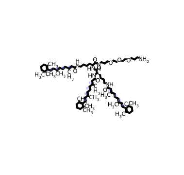 CC1=C(/C=C/C(C)=C/C=C/C(C)=C/C(=O)NCCCCC(NC(=O)[C@@H](CCCCNC(=O)/C=C(C)/C=C/C=C(C)/C=C/C2=C(C)CCCC2(C)C)NC(=O)/C=C(C)/C=C/C=C(C)/C=C/C2=C(C)CCCC2(C)C)C(=O)NCCCOCCOCCOCCCN)C(C)(C)CCC1